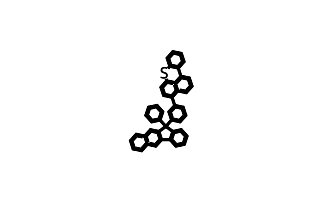 c1ccc(C2(c3cccc(-c4ccc5c6c(cccc46)-c4ccccc4S5)c3)c3ccccc3-c3cc4ccccc4cc32)cc1